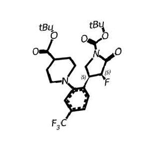 CC(C)(C)OC(=O)C1CCN(c2cc(C(F)(F)F)ccc2[C@H]2CN(C(=O)OC(C)(C)C)C(=O)[C@H]2F)CC1